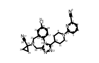 N#Cc1cccc(N2CCC(c3nnc4n3-c3ccc(Cl)cc3CN(C3(C#N)CC3)C4)CC2)n1